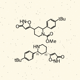 CC(C)(C)c1ccc([C@@H]2C[C@@H](c3cc(=O)[nH]o3)CCN2)cc1.COC(=O)N1CCC(c2cc(=O)[nH]o2)CC1c1ccc(C(C)(C)C)cc1